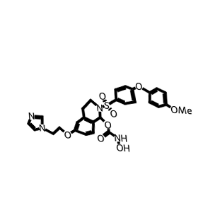 COc1ccc(Oc2ccc(S(=O)(=O)N3CCc4cc(OCCn5ccnc5)ccc4C3OC(=O)NO)cc2)cc1